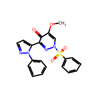 COc1cn(S(=O)(=O)c2ccccc2)nc(-c2ccnn2-c2ccccc2)c1=O